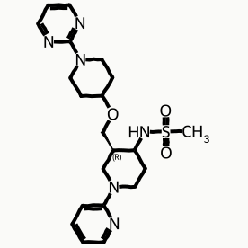 CS(=O)(=O)NC1CCN(c2ccccn2)C[C@H]1COC1CCN(c2ncccn2)CC1